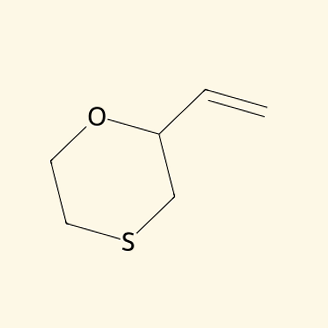 C=CC1CSCCO1